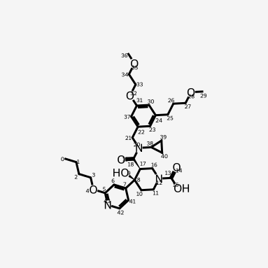 CCCCOc1cc([C@@]2(O)CCN(C(=O)O)C[C@@H]2C(=O)N(Cc2cc(CCCOC)cc(OCCOC)c2)C2CC2)ccn1